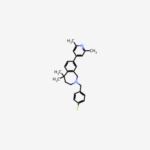 Cc1cc(-c2ccc3c(c2)CN(Cc2ccc(F)cc2)CCC3(C)C)cc(C)n1